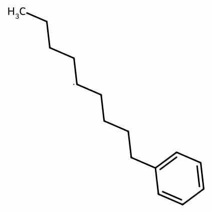 CCCC[CH]CCCCc1ccccc1